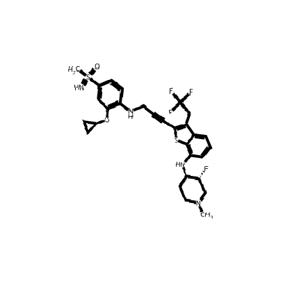 CN1CC[C@@H](Nc2cccc3c(CC(F)(F)F)c(C#CCNc4ccc(S(C)(=N)=O)cc4OC4CC4)sc23)[C@H](F)C1